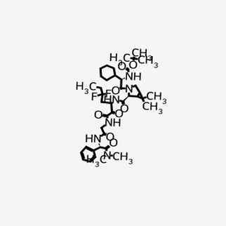 CCC(F)(F)CC(NC(=O)[C@@H]1C2C(CN1C(=O)[C@@H](NC(=O)OC(C)(C)C)C1CCCCC1)C2(C)C)C(=O)C(=O)NCC(=O)N[C@H](C(=O)N(C)C)c1ccccc1